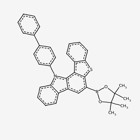 CC1(C)OB(c2cc3c4ccccc4n(-c4ccc(-c5ccccc5)cc4)c3c3c2sc2ccccc23)OC1(C)C